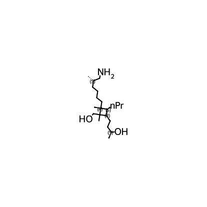 CCC[C@H]1[C@@H](CC[C@H](C)O)C(C)(CO)[C@]1(C)CCCC[C@H](C)CN